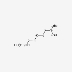 CC(C)(C)N(O)CCOCCNC(=O)O